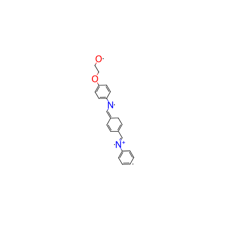 [O]CCOc1ccc([N]C=C2C=CC(C=[N+]c3cc[c]cc3)=CC2)cc1